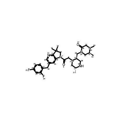 C[C@@H]1CN(CC(=O)N2CC(C)(C)c3ncc(Cc4ccc(F)cc4F)cc32)[C@@H](CN2C[C@H](C)N(C)CC2=O)CN1